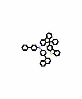 c1ccc(-c2ccc(N(c3ccc(-c4cccc5ccccc45)cc3)c3ccc4c(c3)C(c3ccccc3)(c3ccc5sc6ccccc6c5c3)c3ccccc3-4)cc2)cc1